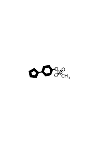 CS(=O)(=O)O[C@H]1CC[C@@H](C2CCCC2)CC1